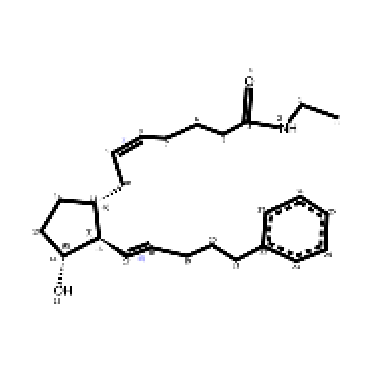 CCNC(=O)CCC/C=C\C[C@H]1CC[C@@H](O)[C@@H]1/C=C/CCCc1ccccc1